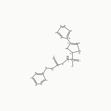 CP(=O)(NCC(=O)OCc1ccccc1)C1CC(c2ccccc2)=NO1